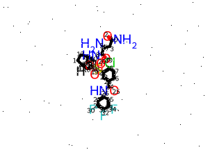 NC(=O)C[C@H](N)C(=O)NC[C@@]1(O)C2CC[C@H]1C[C@H](S(=O)(=O)c1cc(C(=O)Nc3cc(F)c(F)c(F)c3)ccc1Cl)C2